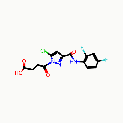 O=C(O)CCC(=O)n1nc(C(=O)Nc2ccc(F)cc2F)cc1Cl